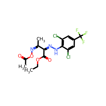 CCOC(=O)C(=N\Nc1c(Cl)cc(C(F)(F)F)cc1Cl)/C(C)=N\OC(C)=O